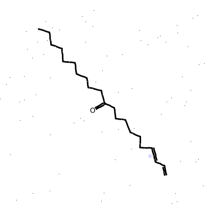 C=C/C=C/CCCCCCC(=O)CCCCCCCCCC